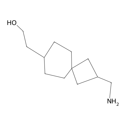 NCC1CC2(CCC(CCO)CC2)C1